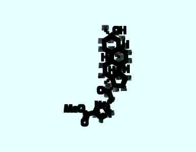 COC(=O)c1cnn(CC(=O)[C@H]2CC[C@H]3[C@@H]4CC[C@@H]5C[C@](C)(O)CC[C@]5(C)[C@H]4CC[C@]23C)n1